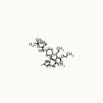 CCCC(C(=O)OCC)c1c(C)nc2ccnn2c1N1CCC[C@@H](NC(=O)OC(C)(C)C)C1